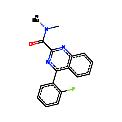 CC[C@@H](C)N(C)C(=O)c1nc(-c2ccccc2F)c2ccccc2n1